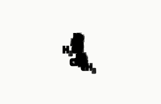 Cc1cc(Cl)c2nc(CCc3nc4c5cccnc5ccn4c3C)ccc2n1